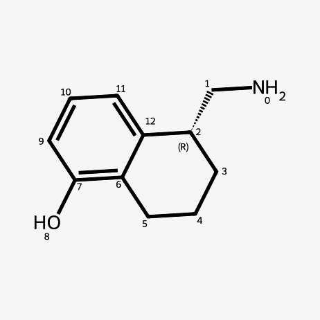 NC[C@@H]1CCCc2c(O)cccc21